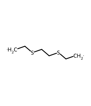 [CH2]CSCCSC[CH2]